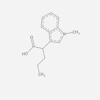 CCCC(C(=O)O)c1cn(C)c2ccccc12